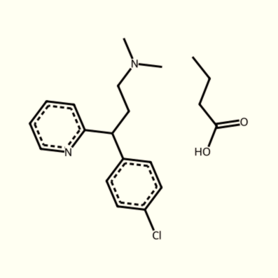 CCCC(=O)O.CN(C)CCC(c1ccc(Cl)cc1)c1ccccn1